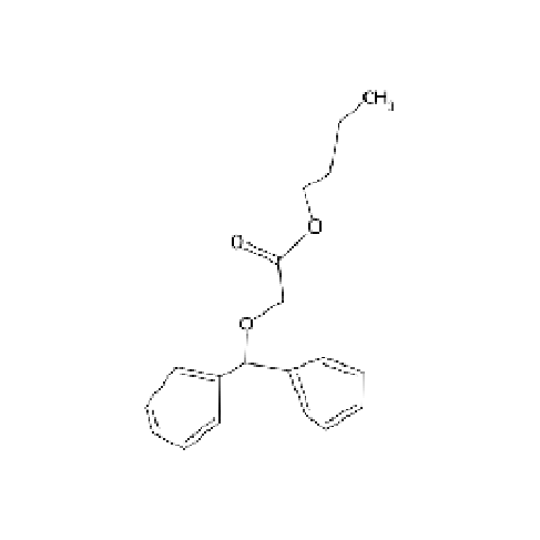 CCCCOC(=O)COC(c1ccccc1)c1ccccc1